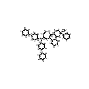 CC1(c2ccccc2)C=CC(C2=C(c3ccccc3)C=C(N(c3ccc(-c4ccccc4)cc3)c3ccc(-c4ccccc4)cc3)C=CC2)=CC1